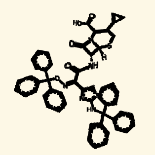 O=C(O)C1=C(C2CC2)CS[C@@H]2[C@H](NC(=O)/C(=N\OC(c3ccccc3)(c3ccccc3)c3ccccc3)c3csc(NC(c4ccccc4)(c4ccccc4)c4ccccc4)n3)C(=O)N12